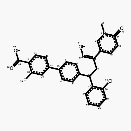 Cn1cc(C(CC(c2ccc(-c3ccc(C(=O)O)c(F)c3)cc2)c2ccccc2Cl)=NO)ccc1=O